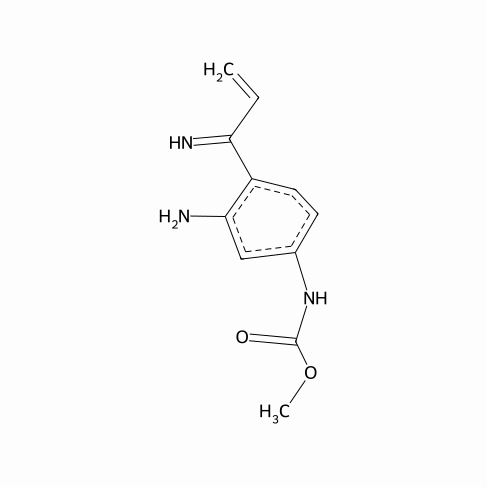 C=CC(=N)c1ccc(NC(=O)OC)cc1N